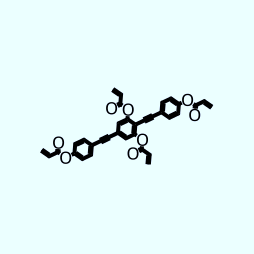 C=CC(=O)Oc1ccc(C#Cc2cc(OC(=O)C=C)c(C#Cc3ccc(OC(=O)C=C)cc3)c(OC(=O)C=C)c2)cc1